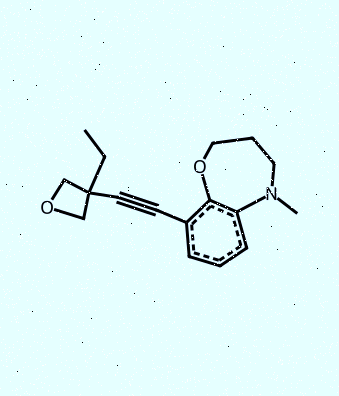 CCC1(C#Cc2cccc3c2OCCCN3C)COC1